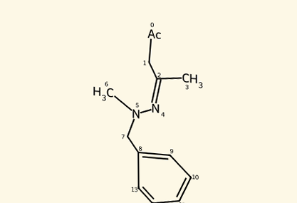 CC(=O)CC(C)=NN(C)Cc1ccccc1